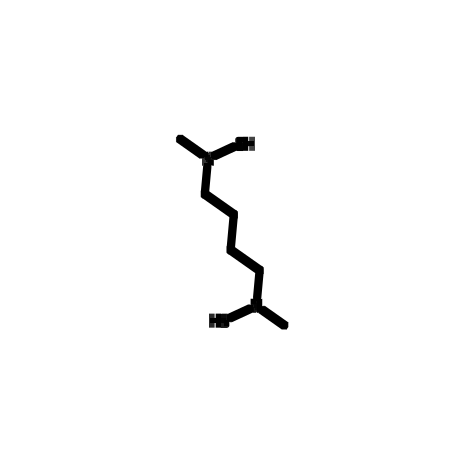 CN(S)CCCCN(C)S